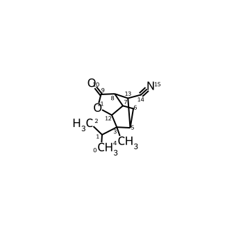 CC(C)C1(C)C2CC3C(C(=O)OC31)C2C#N